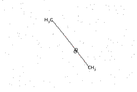 CCCCCCCCC=CCCCCCCCCCCCC(=O)OCCCCCCCCCCCCCCCCCCCCCCCCCCCCCCCCCCCCC